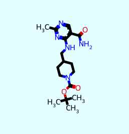 Cc1ncc(C(N)=O)c(NCC2CCN(C(=O)OC(C)(C)C)CC2)n1